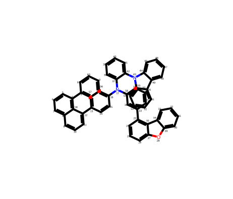 c1ccc(-c2cccc3cccc(-c4ccc(N(c5cccc(-c6cccc7oc8ccccc8c67)c5)c5ccccc5-n5c6ccccc6c6ccccc65)cc4)c23)cc1